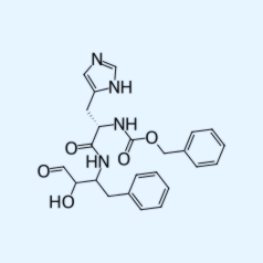 O=CC(O)C(Cc1ccccc1)NC(=O)[C@H](Cc1cnc[nH]1)NC(=O)OCc1ccccc1